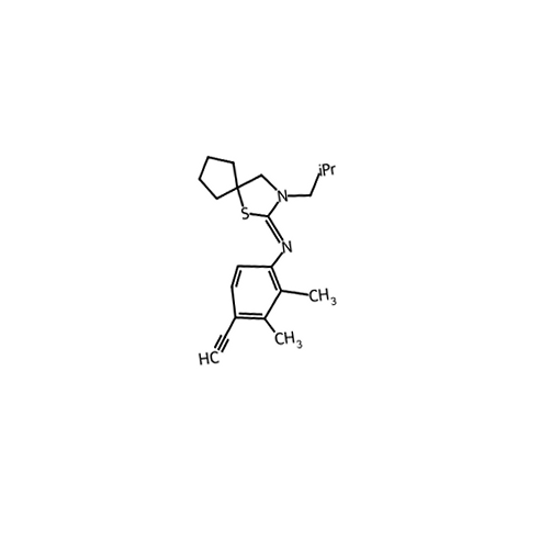 C#Cc1ccc(N=C2SC3(CCCC3)CN2CC(C)C)c(C)c1C